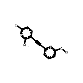 CCOc1cccc(C#Cc2ncc(Cl)nc2N)n1